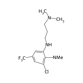 CNc1c(Cl)cc(C(F)(F)F)cc1NCCCN(C)C